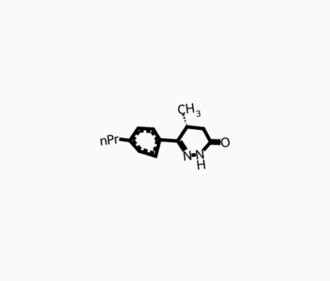 CCCc1ccc(C2=NNC(=O)C[C@H]2C)cc1